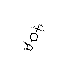 CC(C)(C)[C@H]1CC[C@H](N2CCNC2=O)CC1